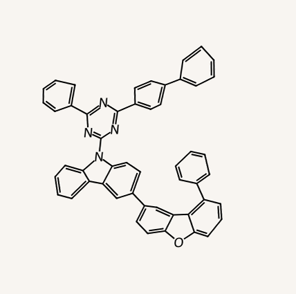 c1ccc(-c2ccc(-c3nc(-c4ccccc4)nc(-n4c5ccccc5c5cc(-c6ccc7oc8cccc(-c9ccccc9)c8c7c6)ccc54)n3)cc2)cc1